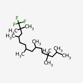 CC(C)CC(C)(C)CCC(C)CC(C)CCC(C)CC(C)(C)C(F)(F)F